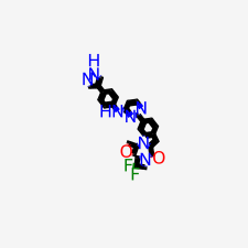 O=C(c1cc2ccc(-c3nccc(Nc4ccc(-c5cn[nH]c5)cc4)n3)cc2n1C1COC1)N1CC(F)(F)C1